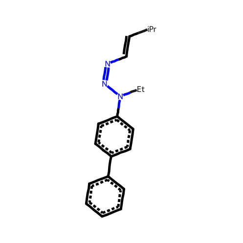 CCN(/N=N\C=C\C(C)C)c1ccc(-c2ccccc2)cc1